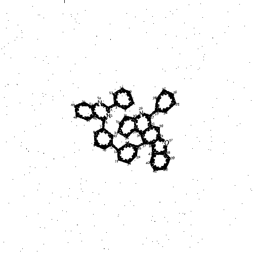 c1ccc(-c2nc(-c3cccc(-c4cccc(-c5c6c(cc7c(-c8ccccc8)nc8ccccc8c57)oc5ccccc56)c4)c3)c3ccccc3n2)cc1